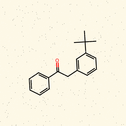 CC(C)(C)c1cccc(CC(=O)c2ccccc2)c1